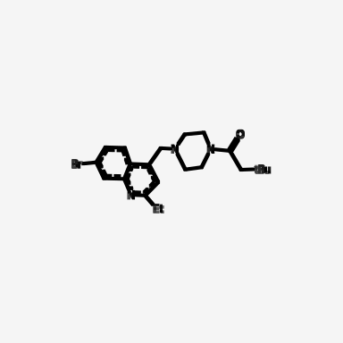 CCc1cc(CN2CCN(C(=O)CC(C)(C)C)CC2)c2ccc(Br)cc2n1